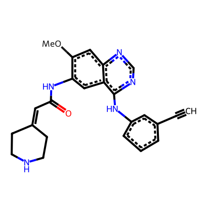 C#Cc1cccc(Nc2ncnc3cc(OC)c(NC(=O)C=C4CCNCC4)cc23)c1